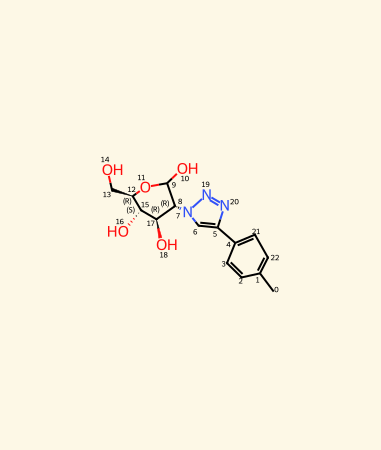 Cc1ccc(-c2cn([C@H]3C(O)O[C@H](CO)[C@@H](O)[C@@H]3O)nn2)cc1